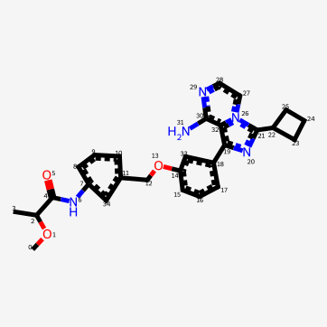 COC(C)C(=O)Nc1cccc(COc2cccc(-c3nc(C4CCC4)n4ccnc(N)c34)c2)c1